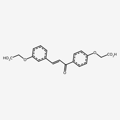 O=C(O)COc1ccc(C(=O)C=Cc2cccc(OCC(=O)O)c2)cc1